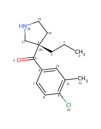 CCC[C@]1(C(=O)c2ccc(Cl)c(C)c2)CCNC1